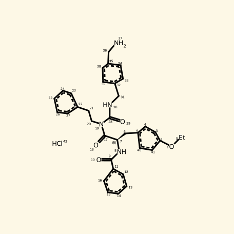 CCOc1ccc(C[C@@H](NC(=O)c2ccccc2)C(=O)N(CCc2ccccc2)C(=O)NCc2ccc(CN)cc2)cc1.Cl